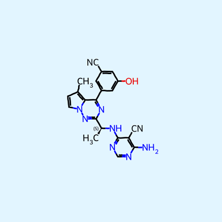 Cc1ccn2nc([C@H](C)Nc3ncnc(N)c3C#N)nc(-c3cc(O)cc(C#N)c3)c12